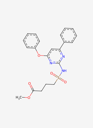 COC(=O)CCCS(=O)(=O)Nc1nc(Oc2ccccc2)cc(-c2ccccc2)n1